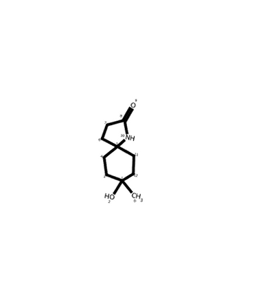 CC1(O)CCC2(CCC(=O)N2)CC1